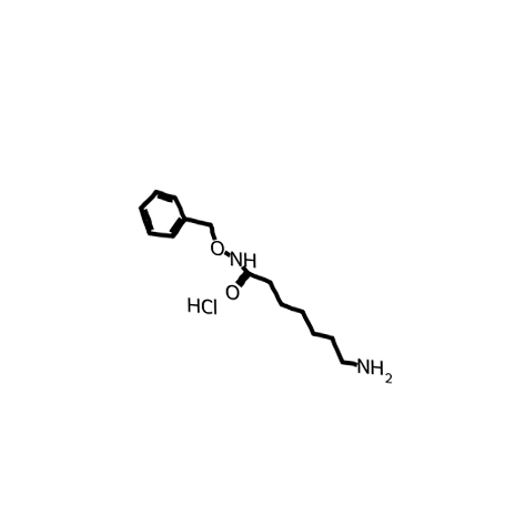 Cl.NCCCCCCC(=O)NOCc1ccccc1